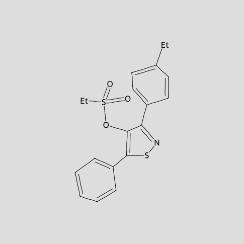 CCc1ccc(-c2nsc(-c3ccccc3)c2OS(=O)(=O)CC)cc1